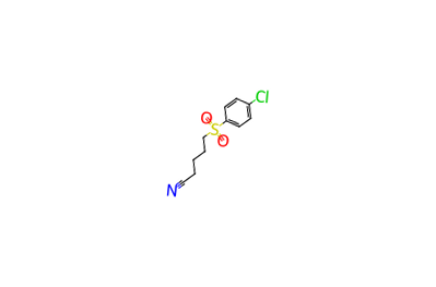 N#CCCCCS(=O)(=O)c1ccc(Cl)cc1